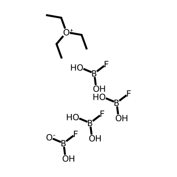 CC[O+](CC)CC.OB(O)F.OB(O)F.OB(O)F.[O-]B(O)F